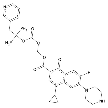 O=C(OCOC(=O)c1cn(C2CC2)c2cc(N3CCNCC3)c(F)cc2c1=O)OC(P)(P)Cc1cccnc1